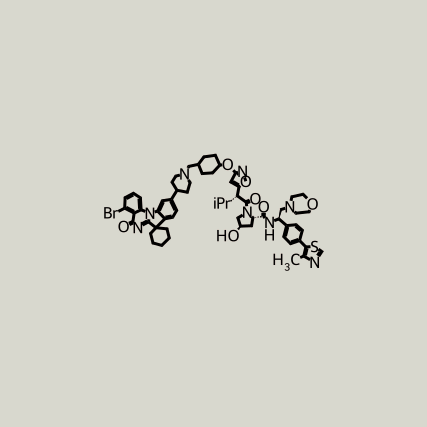 Cc1ncsc1-c1ccc([C@H](CN2CCOCC2)NC(=O)[C@@H]2C[C@@H](O)CN2C(=O)[C@@H](c2cc(OC3CCC(CN4CCC(c5ccc6c(c5)-n5c(nc(=O)c7c(Br)cccc75)C65CCCCC5)CC4)CC3)no2)C(C)C)cc1